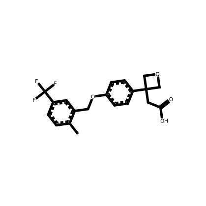 Cc1ccc(C(F)(F)F)cc1COc1ccc(C2(CC(=O)O)COC2)cc1